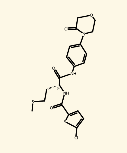 CSCC[C@@H](NC(=O)c1ccc(Cl)s1)C(=O)Nc1ccc(N2CCOCC2=O)cc1